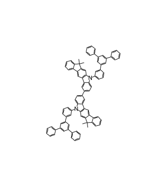 CC1(C)c2ccccc2-c2cc3c4cc(-c5ccc6c(c5)c5cc7c(cc5n6-c5cccc(-c6cc(-c8ccccc8)cc(-c8ccccc8)c6)c5)C(C)(C)c5ccccc5-7)ccc4n(-c4cccc(-c5cc(-c6ccccc6)cc(-c6ccccc6)c5)c4)c3cc21